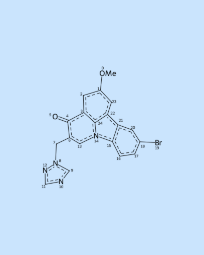 COc1cc2c(=O)c(Cn3cncn3)cn3c4ccc(Br)cc4c(c1)c23